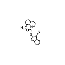 Cc1cccc2c1N(C(=O)CSc1nc3ccccc3n1C#N)CCC2